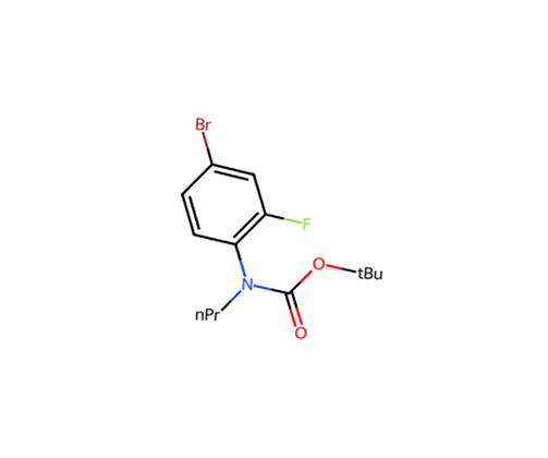 CCCN(C(=O)OC(C)(C)C)c1ccc(Br)cc1F